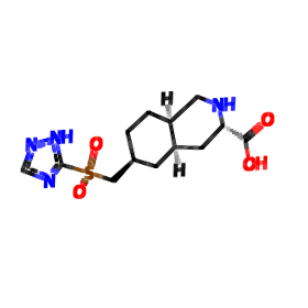 O=C(O)[C@@H]1C[C@H]2C[C@@H](CS(=O)(=O)c3ncn[nH]3)CC[C@H]2CN1